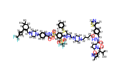 Cc1cc(C(C(=O)N2CCC[C@H]2C(=O)NCc2ccc(-c3scnc3C)cc2OCCCCN2CCN(CC[C@H](CSc3ccccc3)Nc3ccc(S(=O)(=O)NC(=O)c4ccc(N5CCN(CC6=C(C78CC(C(F)F)(C7)C8)CC(C)(C)CC6)CC5)cc4)cc3S(=O)(=O)C(F)(F)F)CC2)C(C)C)on1